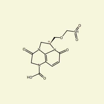 O=C(O)N1CC(=O)N2C[C@@H](COC[SH](=O)=O)n3c2c1ccc3=O